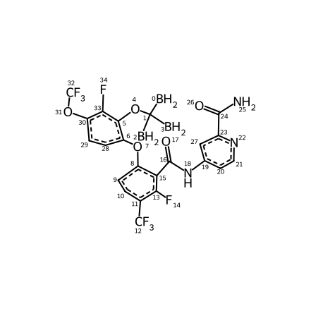 BC(B)(B)Oc1c(Oc2ccc(C(F)(F)F)c(F)c2C(=O)Nc2ccnc(C(N)=O)c2)ccc(OC(F)(F)F)c1F